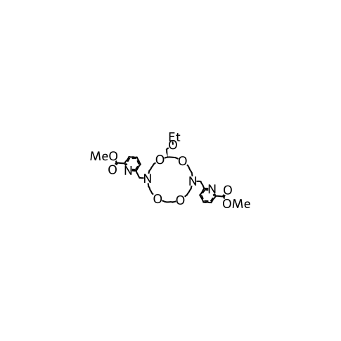 CCOC[C@H]1COCCN(Cc2cccc(C(=O)OC)n2)CCOCCOCCN(Cc2cccc(C(=O)OC)n2)CCO1